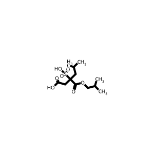 CC(C)COC(=O)C(CC(=O)O)(CC(C)C)S(=O)(=O)O